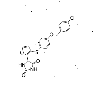 O=C1NC(=O)C(c2occc2Sc2ccc(OCc3ccc(Cl)cc3)cc2)N1